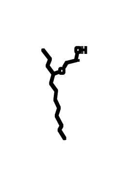 CCCCCCCCC(CCC)OC[CH]O